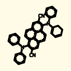 N#Cc1cc2ccc3c(N(c4ccccc4)c4ccccc4)c(C#N)cc4ccc(c1N(C1=CC=CCC1)c1ccccc1)c2c43